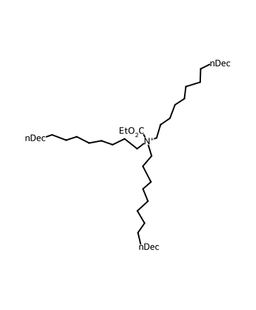 CCCCCCCCCCCCCCCCCC[N+](CCCCCCCCCCCCCCCCCC)(CCCCCCCCCCCCCCCCCC)C(=O)OCC